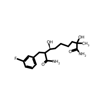 CC(O)(CCCC[C@H](O)[C](Cc1cccc(F)c1)C(N)=O)C(N)=O